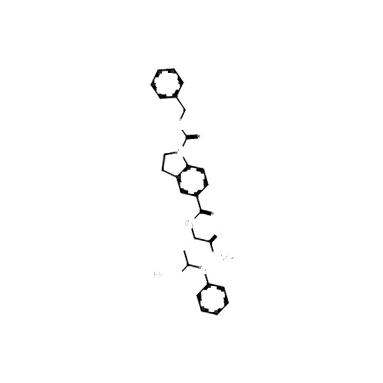 COC(=O)[C@H](CC(Nc1ccccc1)C(=O)O)NC(=O)c1ccc2c(c1)CCN2C(=O)OCc1ccccc1